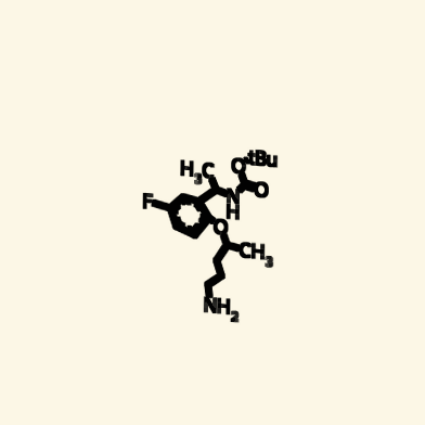 CC(CCCN)Oc1ccc(F)cc1C(C)NC(=O)OC(C)(C)C